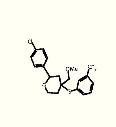 COCC1(Sc2cccc(C(F)(F)F)c2)CCOC(c2ccc(Cl)cc2)C1